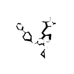 O=C1NC(=O)/C(=C/c2cnn3c(NC4CC4)cc(Nc4ccc(-c5ccccc5)cc4)nc23)N1